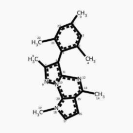 Cc1cc(C)c(-c2c(C)nn3c2nc(C)c2ccn(C)c23)c(C)c1